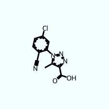 Cc1c(C(=O)O)nnn1-c1cc(Cl)ccc1C#N